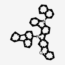 c1ccc2c(c1)-c1cccc3c(-n4c5cc6oc7ccccc7c6cc5c5ccc6c(c7ccccc7n6-c6cccc7ccccc67)c54)ccc-2c13